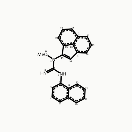 CON(C(=N)Nc1cccc2ccccc12)C1=Cc2cccc3cccc1c23